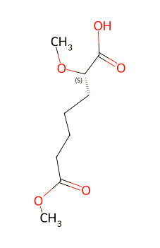 COC(=O)CCCC[C@H](OC)C(=O)O